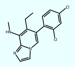 CCc1c(-c2ccc(Cl)cc2Cl)cn2ccnc2c1NC